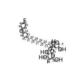 C[C@@H](O)[C@@H](O)[C@H](CO[C@H]1OC(CO)[C@@H](F)C(O)C1O)NC(=O)CCCCCCCCCCc1ccc(Oc2ccc(F)cc2)cc1